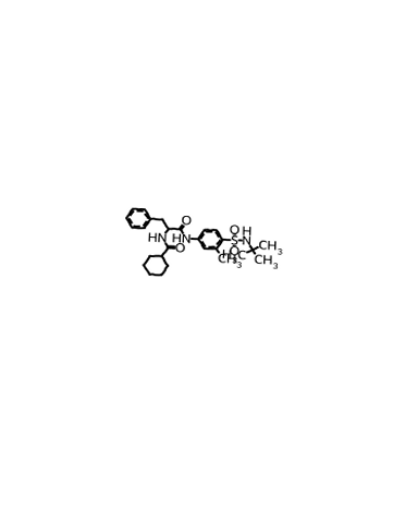 Cc1cc(NC(=O)C(Cc2ccccc2)NC(=O)C2CCCCC2)ccc1S(=O)(=O)NC(C)(C)C